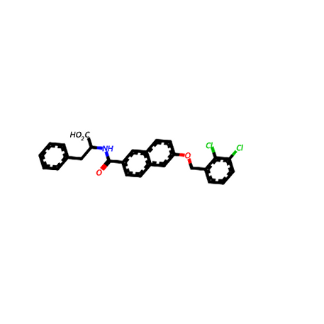 O=C(NC(Cc1ccccc1)C(=O)O)c1ccc2cc(OCc3cccc(Cl)c3Cl)ccc2c1